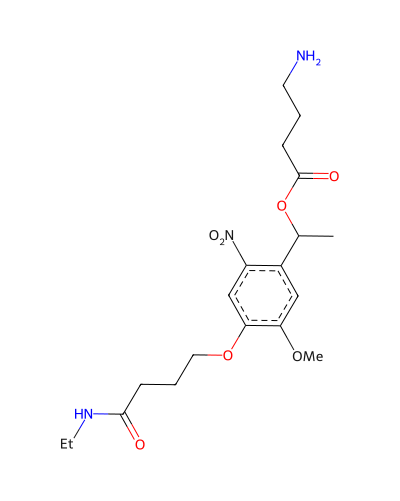 CCNC(=O)CCCOc1cc([N+](=O)[O-])c(C(C)OC(=O)CCCN)cc1OC